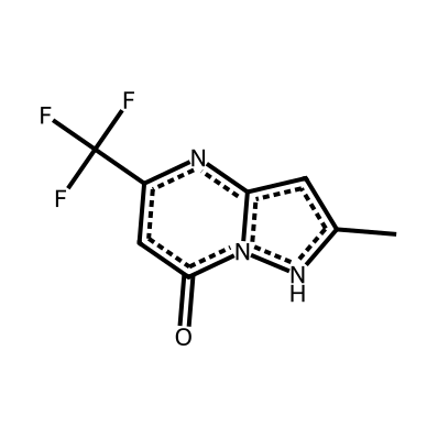 Cc1cc2nc(C(F)(F)F)cc(=O)n2[nH]1